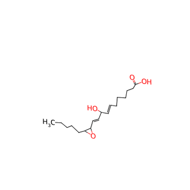 CCCCCC1OC1C=CC(O)C=CCCCCCC(=O)O